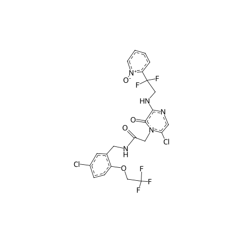 O=C(Cn1c(Cl)cnc(NCC(F)(F)c2cccc[n+]2[O-])c1=O)NCc1cc(Cl)ccc1OCC(F)(F)F